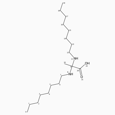 CCCCCCCCNC(C)(NCCCCCCCC)C(=O)O